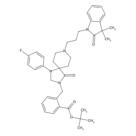 CC(C)(C)OC(=O)c1ccccc1CN1CN(c2ccc(F)cc2)C2(CCN(CCCN3C(=O)C(C)(C)c4ccccc43)CC2)C1=O